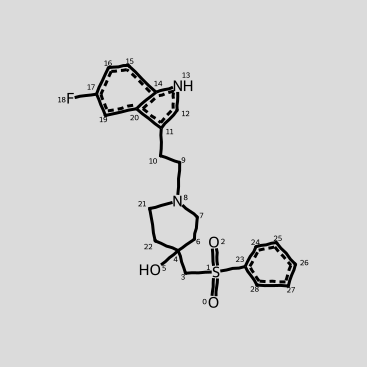 O=S(=O)(CC1(O)CCN(CCc2c[nH]c3ccc(F)cc23)CC1)c1ccccc1